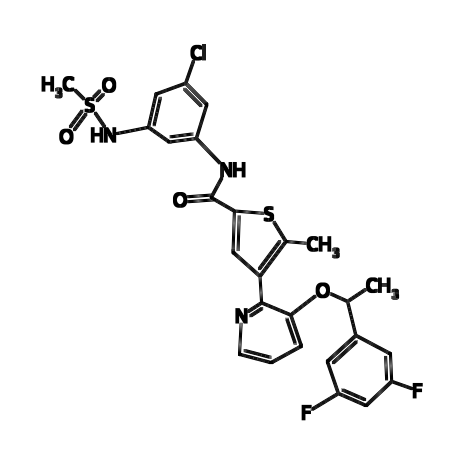 Cc1sc(C(=O)Nc2cc(Cl)cc(NS(C)(=O)=O)c2)cc1-c1ncccc1OC(C)c1cc(F)cc(F)c1